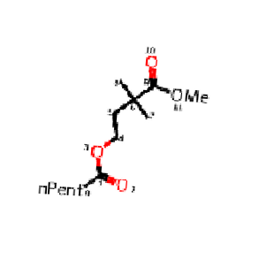 CCCCCC(=O)OCCC(C)(C)C(=O)OC